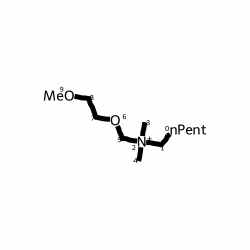 CCCCCC[N+](C)(C)COCCOC